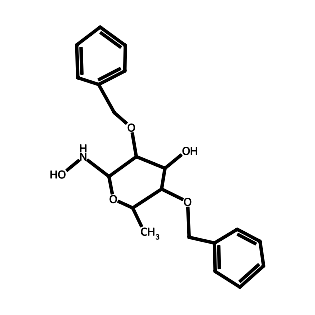 CC1OC(NO)C(OCc2ccccc2)C(O)C1OCc1ccccc1